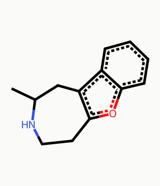 CC1Cc2c(oc3ccccc23)CCN1